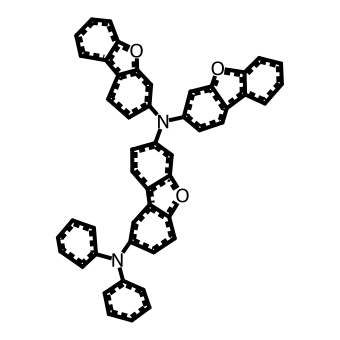 c1ccc(N(c2ccccc2)c2ccc3oc4cc(N(c5ccc6c(c5)oc5ccccc56)c5ccc6c(c5)oc5ccccc56)ccc4c3c2)cc1